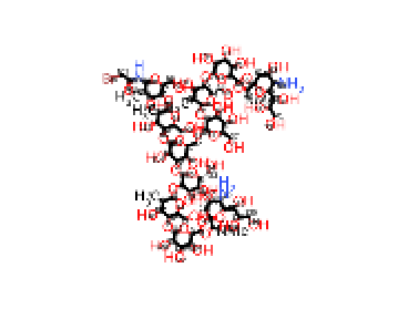 CNC(=O)[C@@]1(OCC2O[C@@H](O[C@@H]3C(CO)O[C@@H](OC4C(O)[C@H](O)[C@@H](CO)O[C@@H]4OC4[C@H](O)C(CO[C@H]5OC(CO)[C@@H](O)C(O)[C@H]5O[C@@H]5O[C@@H](CO)[C@@H](O[C@@H]6OC(CO[C@]7(C(=O)NC)C[C@@H](O)[C@@H](N)C([C@H](O)C(O)CO)O7)[C@H](O)C(O)[C@@H]6O)C(O)C5C)O[C@@H](O[C@@H]5C(CO)O[C@@H](O[C@@H]6C(CO)O[C@@H](NC(=O)CBr)[C@@H](C)C6O)[C@@H](C)C5O)[C@@H]4O)C(C)[C@H]3O)[C@@H](O)C(O)[C@H]2O)C[C@@H](O)[C@@H](N)C([C@H](O)C(O)CO)O1